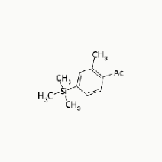 CC(=O)c1ccc([Si](C)(C)C)cc1C